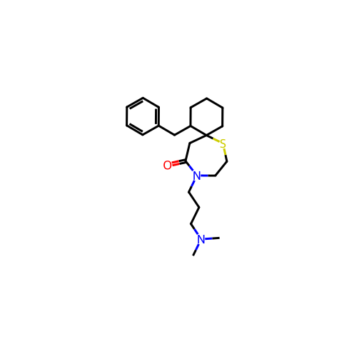 CN(C)CCCN1CCSC2(CCCCC2Cc2ccccc2)CC1=O